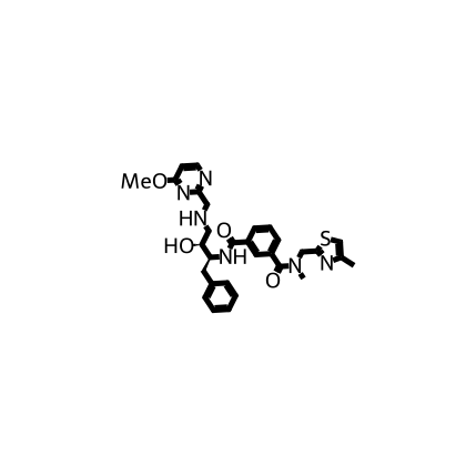 COc1ccnc(CNC[C@@H](O)[C@H](Cc2ccccc2)NC(=O)c2cccc(C(=O)N(C)Cc3nc(C)cs3)c2)n1